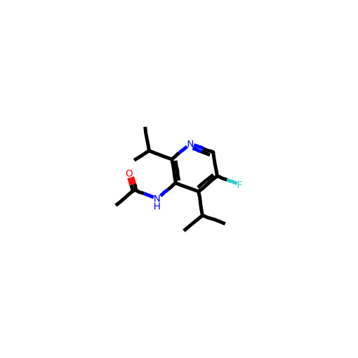 CC(=O)Nc1c(C(C)C)ncc(F)c1C(C)C